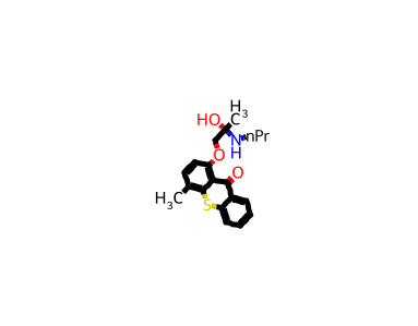 CCCNC(C)(O)COc1ccc(C)c2sc3ccccc3c(=O)c12